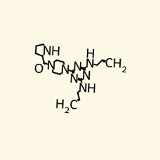 C=CCNc1nc(NCC=C)nc(N2CCN(C(=O)C3CCCN3)CC2)n1